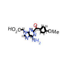 COc1ccc(C(=O)c2nc(N)c3ncn(CC(=O)O)c3n2)cc1